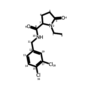 CCN1C(=O)CCC1C(=O)NCc1ccc(Cl)c(Cl)c1